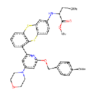 COCC(Nc1ccc2c(c1)Sc1cccc(-c3cc(N4CCOCC4)cc(OCc4ccc(OC)cc4)n3)c1S2)C(=O)OC(C)(C)C